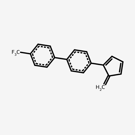 C=C1C=CC=C1c1ccc(-c2ccc(C(F)(F)F)cc2)cc1